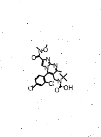 CON(C)C(=O)c1cn2c(-c3ccc(Cl)cc3Cl)c(CN(C(=O)O)C(C)(C)C)c(C)nc2n1